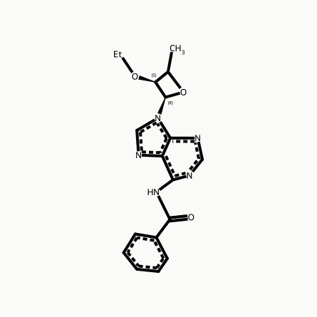 CCO[C@H]1C(C)O[C@H]1n1cnc2c(NC(=O)c3ccccc3)ncnc21